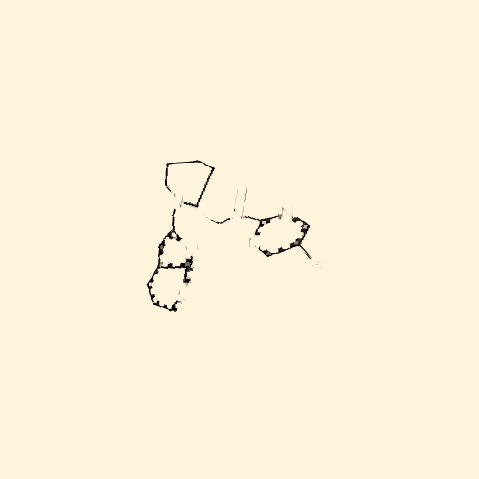 Brc1cnc(NC[C@@H]2CCCCN2c2cc3ccccc3o2)nc1